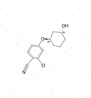 N#Cc1ccc(O[C@@H]2CCC[C@@H](O)C2)cc1Cl